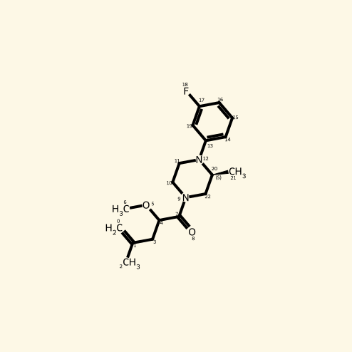 C=C(C)CC(OC)C(=O)N1CCN(c2cccc(F)c2)[C@@H](C)C1